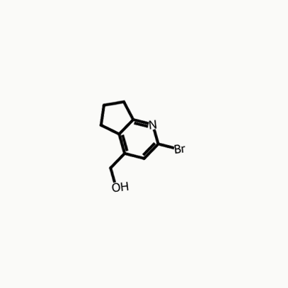 OCc1cc(Br)nc2c1CCC2